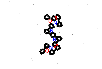 c1ccc(-c2ccccc2N(c2ccc3c4cccc5c6cc7c(cc6n(c3c2)c45)c2cccc3c4ccc(N(c5ccccc5-c5ccccc5)c5cccc6c5oc5ccccc56)cc4n7c32)c2cccc3c2oc2ccccc23)cc1